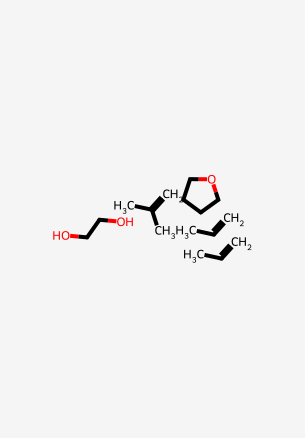 C1CCOC1.C=C(C)C.C=CC.C=CC.OCCO